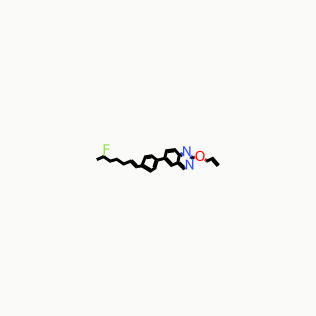 C=CCOc1ncc2cc(-c3ccc(C=CCCCC(C)F)cc3)ccc2n1